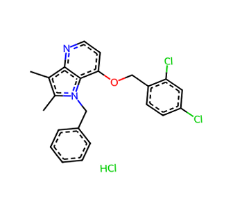 Cc1c(C)n(Cc2ccccc2)c2c(OCc3ccc(Cl)cc3Cl)ccnc12.Cl